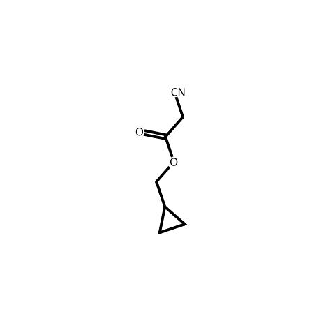 N#CCC(=O)OCC1CC1